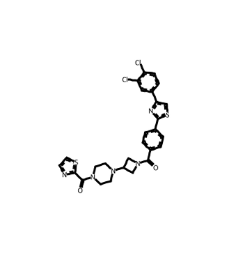 O=C(c1ccc(-c2nc(-c3ccc(Cl)c(Cl)c3)cs2)cc1)N1CC(N2CCN(C(=O)c3nccs3)CC2)C1